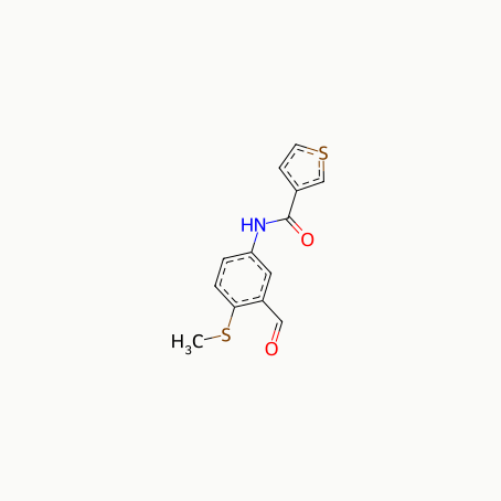 CSc1ccc(NC(=O)c2ccsc2)cc1C=O